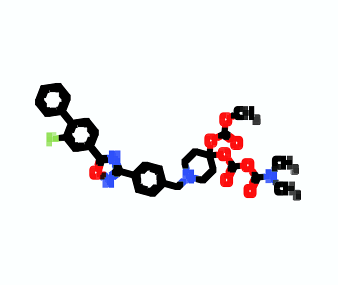 COC(=O)OC1(OC(=O)OC(=O)N(C)C)CCN(Cc2ccc(-c3noc(-c4ccc(-c5ccccc5)c(F)c4)n3)cc2)CC1